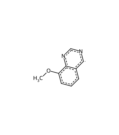 COc1cccc2[c]ncnc12